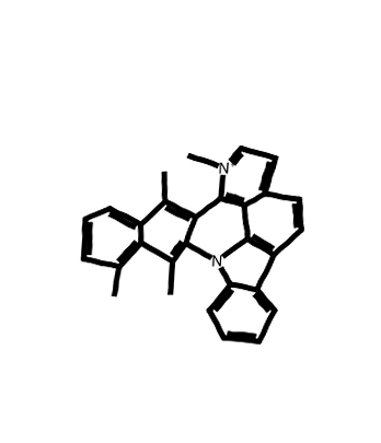 Cc1cccc2c(C)c3c(c(C)c12)n1c2ccccc2c2ccc4cc[n+](C)c3c4c21